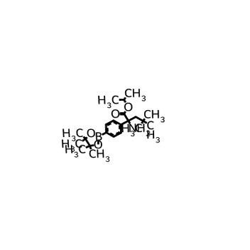 CC(C)OC(=O)C(N)(CC(C)(C)C)c1ccc(B2OC(C)(C)C(C)(C)O2)cc1